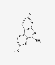 COc1ccc2c(n1)c(N)nc1cc(Br)ccc12